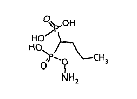 CCCC(P(=O)(O)O)P(=O)(O)ON